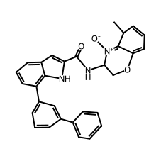 CC1C=CC=C2OCC(NC(=O)c3cc4cccc(-c5cccc(-c6ccccc6)c5)c4[nH]3)[N+]([O-])=C21